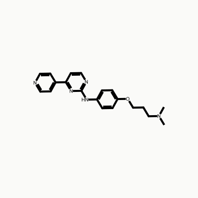 CN(C)CCCOc1ccc(Nc2nccc(-c3ccncc3)n2)cc1